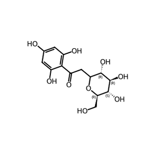 O=C(CC1O[C@H](CO)[C@@H](O)[C@H](O)[C@H]1O)c1c(O)cc(O)cc1O